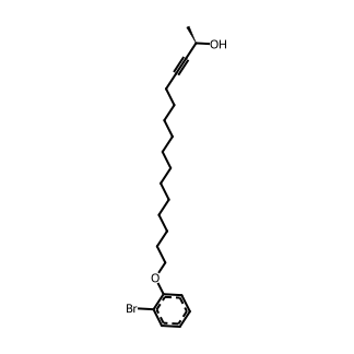 C[C@@H](O)C#CCCCCCCCCCCCCOc1ccccc1Br